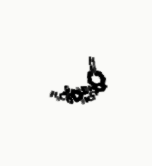 CCS(=O)(=O)c1ccc(CNc2c(Cl)ccc3c2CCNCC3)cc1.Cl